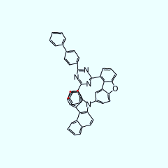 c1ccc(-c2ccc(-c3nc(-c4ccccc4)nc(-c4cccc5oc6ccc(-n7c8ccccc8c8c9ccccc9ccc87)cc6c45)n3)cc2)cc1